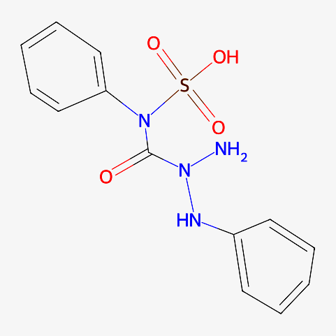 NN(Nc1ccccc1)C(=O)N(c1ccccc1)S(=O)(=O)O